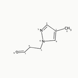 Cc1cnn(CCC=O)c1